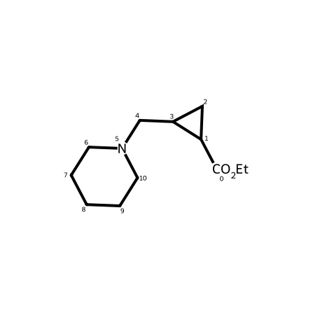 CCOC(=O)C1CC1CN1CCCCC1